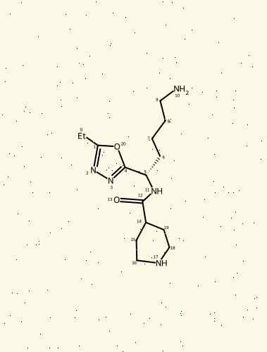 CCc1nnc([C@H](CCCCN)NC(=O)C2CCNCC2)o1